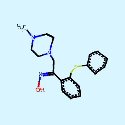 CN1CCN(CC(=NO)c2ccccc2Sc2ccccc2)CC1